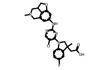 CN1Cc2cc(Nc3ncc(Cl)c(N4CC(C)(CC(=O)O)c5cc(F)ccc54)n3)cc3c2C(CO3)C1